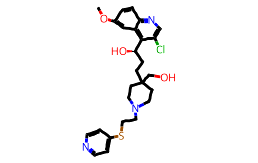 COc1ccc2ncc(Cl)c([C@H](O)CCC3(CO)CCN(CCSc4ccncc4)CC3)c2c1